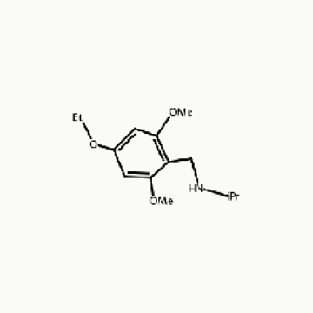 CCOc1cc(OC)c(CNC(C)C)c(OC)c1